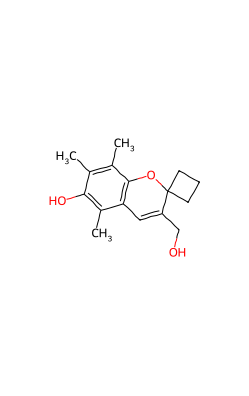 Cc1c(C)c2c(c(C)c1O)C=C(CO)C1(CCC1)O2